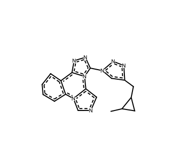 CC1CC1Cc1cn(-c2nnc3c4ccccc4n4cncc4n23)nn1